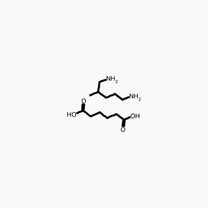 CC(CN)CCCN.O=C(O)CCCCC(=O)O